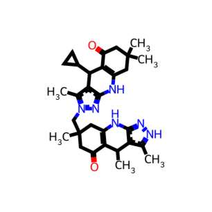 Cc1[nH]nc2c1C(C)C1=C(CC(C)(Cn3nc4c(c3C)C(C3CC3)C3=C(CC(C)(C)CC3=O)N4)CC1=O)N2